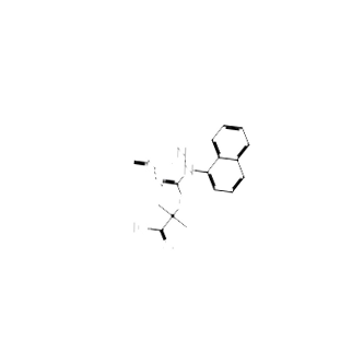 C=N/N=C(/OC(C)(C)C(=O)O)N(N)c1cccc2ccccc12